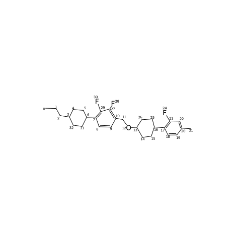 CCCC1CCC(c2ccc(COC3CCC(c4ccc(C)cc4F)CC3)c(F)c2F)CC1